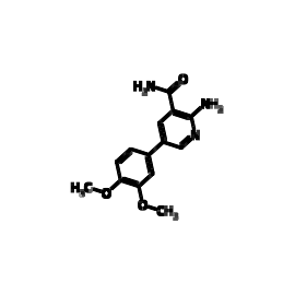 COc1ccc(-c2cnc(N)c(C(N)=O)c2)cc1OC